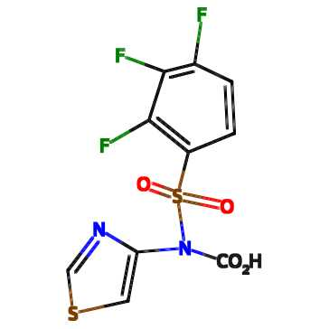 O=C(O)N(c1cscn1)S(=O)(=O)c1ccc(F)c(F)c1F